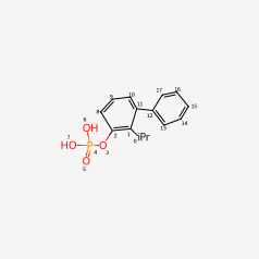 CC(C)c1c(OP(=O)(O)O)cccc1-c1ccccc1